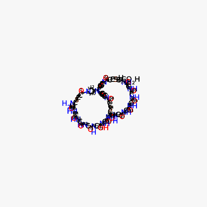 N[C@H]1CSCCC(=O)N2CCC(CC2)N2C3CCN(CC3)C(=O)CCSC[C@@H](C(=O)O)NC(=O)CNC(=O)CNC(=O)CNC(=O)CNC(=O)CNC(=O)[C@H](CSCCC(=O)N3CCC2CC3)NC(=O)CNC(O)CNC(=O)CNC(=O)CNC(=O)CNC1=O